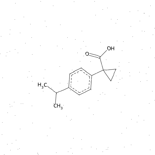 CC(C)c1ccc(C2(C(=O)O)CC2)cc1